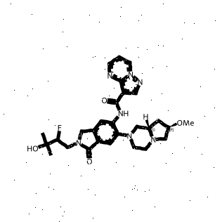 CO[C@@H]1C[C@H]2CN(c3cc4c(cc3NC(=O)c3cnn5cccnc35)CN(CC(F)C(C)(C)O)C4=O)CCN2C1